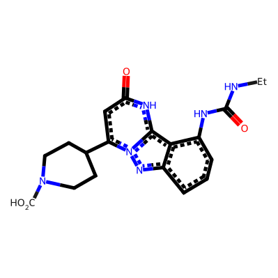 CCNC(=O)Nc1cccc2nn3c(C4CCN(C(=O)O)CC4)cc(=O)[nH]c3c12